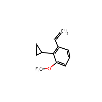 C=[C]c1cccc(OC(F)(F)F)c1C1CC1